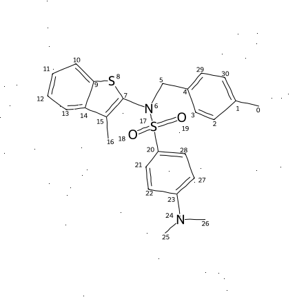 Cc1ccc(CN(c2sc3ccccc3c2C)S(=O)(=O)c2ccc(N(C)C)cc2)cc1